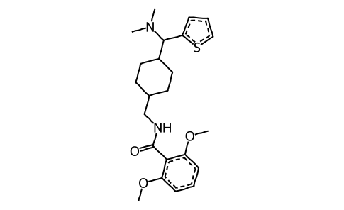 COc1cccc(OC)c1C(=O)NCC1CCC(C(c2cccs2)N(C)C)CC1